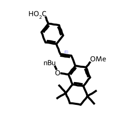 CCCCOc1c(/C=C/c2ccc(C(=O)O)cc2)c(OC)cc2c1C(C)(C)CCC2(C)C